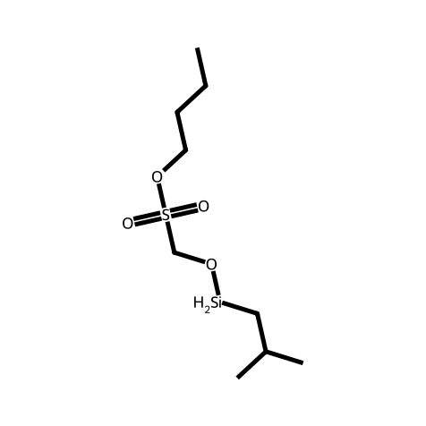 CCCCOS(=O)(=O)CO[SiH2]CC(C)C